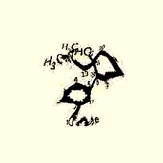 COc1cccc([C@@H]2CCCC[C@@]2(O)CN(C)C)c1